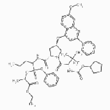 CCCC(NC(=O)[C@@H]1C[C@@H](Oc2cc(-c3ccccc3)nc3cc(OC)ccc23)CN1C(=O)[C@@H](NC(=O)OC1CCCC1)C(C)(C)C)P(=O)(Oc1ccccc1)OC(C)C(=O)OCC